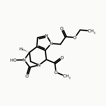 CCOC(=O)Cn1ncc2c1C(C(=O)OC)N1C[C@H]2N(O)C1=O